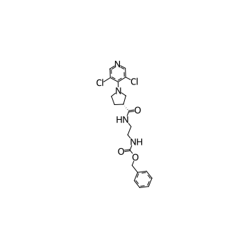 O=C(NCCNC(=O)[C@@H]1CCN(c2c(Cl)cncc2Cl)C1)OCc1ccccc1